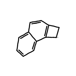 [CH]1Cc2ccc3ccccc3c21